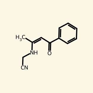 C/C(=C/C(=O)c1ccccc1)NCC#N